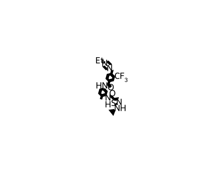 CCN1CCN(Cc2ccc(C(=O)Nc3ccc(C)c(NC(=O)c4cnc(NC5CC5)s4)c3)cc2C(F)(F)F)CC1